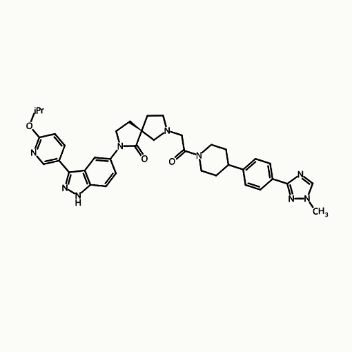 CC(C)Oc1ccc(-c2n[nH]c3ccc(N4CC[C@]5(CCN(CC(=O)N6CCC(c7ccc(-c8ncn(C)n8)cc7)CC6)C5)C4=O)cc23)cn1